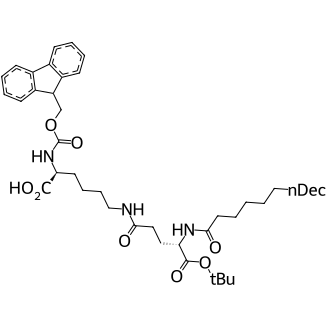 CCCCCCCCCCCCCCCC(=O)N[C@@H](CCC(=O)NCCCC[C@H](NC(=O)OCC1c2ccccc2-c2ccccc21)C(=O)O)C(=O)OC(C)(C)C